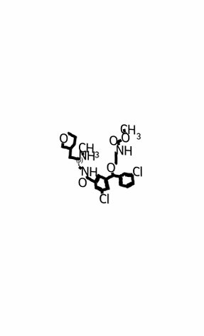 CN[C@H](CNC(=O)c1cc(Cl)cc(C(OCCNC(=O)OC)c2cccc(Cl)c2)c1)CC1CCCOC1